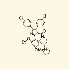 CCOc1cc(OC)ccc1C1=NC(c2ccc(Cl)cc2)C(c2ccc(Cl)cc2)N1C(=O)N1CCC(N2CCCC2)CC1